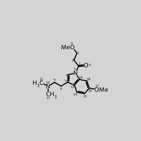 COCCC(=O)n1cc(CCN(C)C)c2ccc(OC)cc21